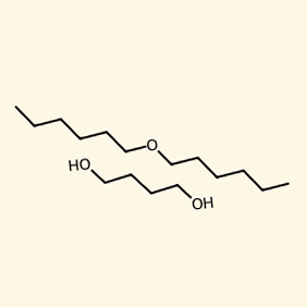 CCCCCCOCCCCCC.OCCCCO